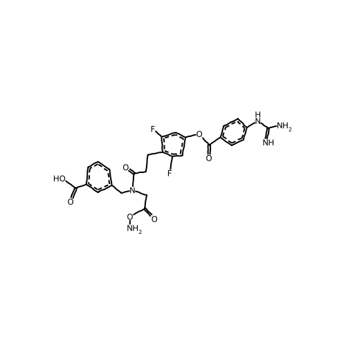 N=C(N)Nc1ccc(C(=O)Oc2cc(F)c(CCC(=O)N(CC(=O)ON)Cc3cccc(C(=O)O)c3)c(F)c2)cc1